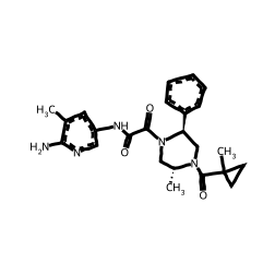 Cc1cc(NC(=O)C(=O)N2C[C@@H](C)N(C(=O)C3(C)CC3)C[C@@H]2c2ccccc2)cnc1N